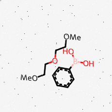 COCCOCCOC.OB(O)c1ccccc1